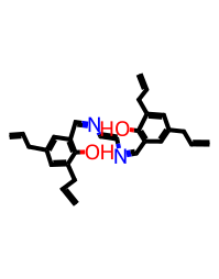 C=CCc1cc(\C=N/C=C/N=C\c2cc(CC=C)cc(CC=C)c2O)c(O)c(CC=C)c1